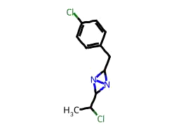 CC(Cl)C1N2C(Cc3ccc(Cl)cc3)N12